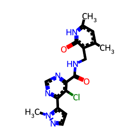 Cc1cc(C)c(CNC(=O)c2ncnc(-c3ccnn3C)c2Cl)c(=O)[nH]1